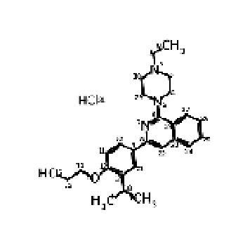 CCN1CCN(c2nc(-c3ccc(OCCO)c(C(C)C)c3)cc3ccccc23)CC1.Cl